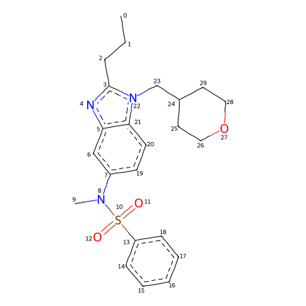 CCCc1nc2cc(N(C)S(=O)(=O)c3ccccc3)ccc2n1CC1CCOCC1